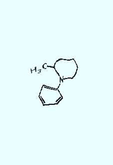 CC1CCCCN1c1ccccc1